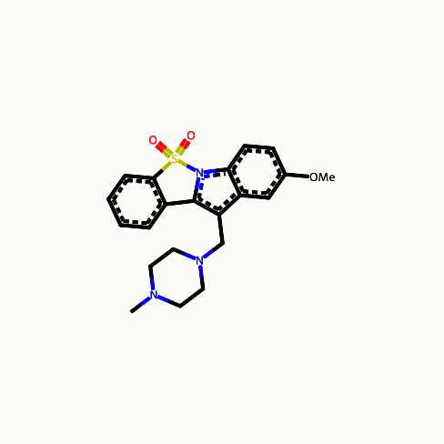 COc1ccc2c(c1)c(CN1CCN(C)CC1)c1n2S(=O)(=O)c2ccccc2-1